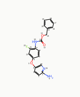 Nc1ccc(Oc2ccc(NC(=O)OCc3ccccc3)c(F)c2)cn1